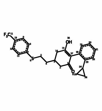 O=C1CC(CCSc2ccc(C(F)(F)F)cc2)CC(O)=C1c1ccccc1C1CC1